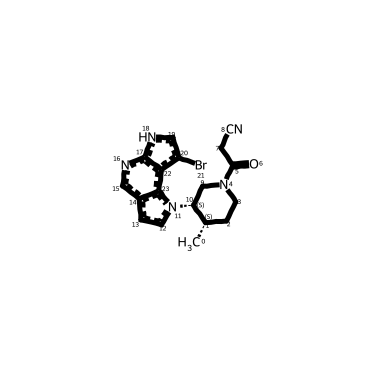 C[C@H]1CCN(C(=O)CC#N)C[C@H]1n1ccc2cnc3[nH]cc(Br)c3c21